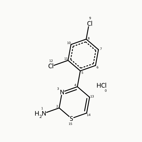 Cl.NC1N=C(c2ccc(Cl)cc2Cl)C=CS1